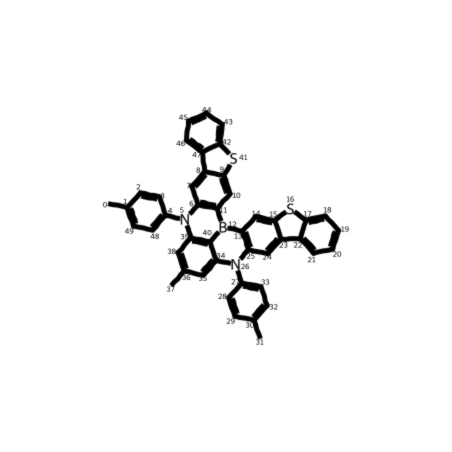 Cc1ccc(N2c3cc4c(cc3B3c5cc6sc7ccccc7c6cc5N(c5ccc(C)cc5)c5cc(C)cc2c53)sc2ccccc24)cc1